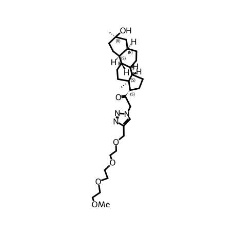 COCCOCCOCCOCc1cn(CC(=O)[C@H]2CC[C@H]3[C@@H]4CC[C@@H]5C[C@](C)(O)CC[C@@H]5[C@H]4CC[C@]23C)nn1